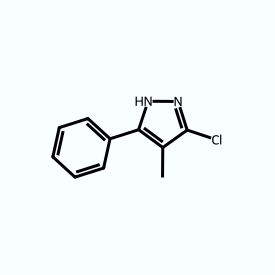 Cc1c(Cl)n[nH]c1-c1ccccc1